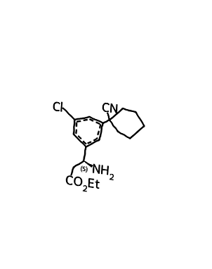 CCOC(=O)C[C@H](N)c1cc(Cl)cc(C2(C#N)CCCCC2)c1